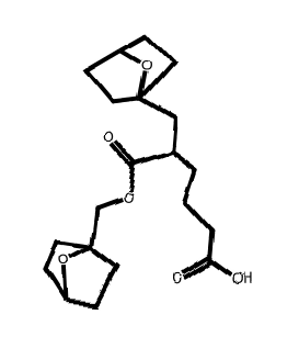 O=C(O)CCCC(CC12CCC(CC1)O2)C(=O)OCC12CCC(CC1)O2